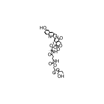 CCC(CO)OC(COC(=O)NCCC(=O)N[C@H](C)C(=O)O[C@]1(CC)C(=O)OCc2c1cc1n(c2=O)Cc2cc3cc(O)ccc3nc2-1)OC